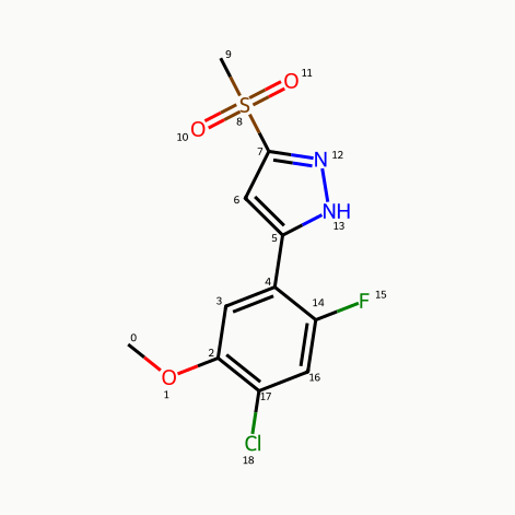 COc1cc(-c2cc(S(C)(=O)=O)n[nH]2)c(F)cc1Cl